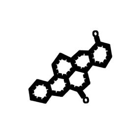 O=c1cccc2c1cc1ccc3c4ccccc4cc4c(=O)cc2c1c43